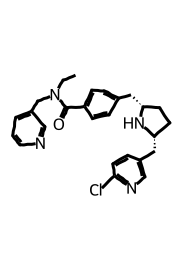 CCN(Cc1cccnc1)C(=O)c1ccc(C[C@@H]2CC[C@H](Cc3ccc(Cl)nc3)N2)cc1